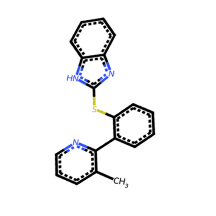 Cc1cccnc1-c1ccccc1Sc1nc2ccccc2[nH]1